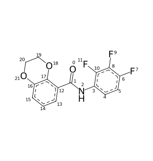 O=C(Nc1ccc(F)c(F)c1F)c1cccc2c1OCCO2